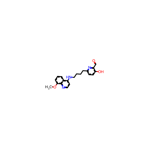 COc1cccc2c(NCCCCc3ccc(O)c(C=O)n3)ccnc12